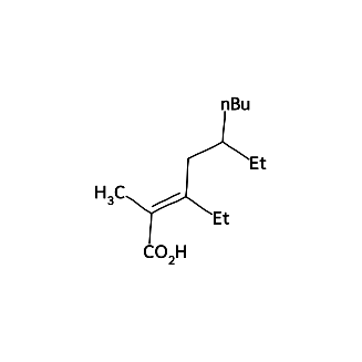 CCCCC(CC)C/C(CC)=C(\C)C(=O)O